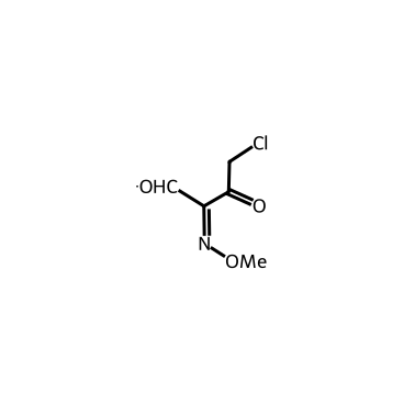 CON=C([C]=O)C(=O)CCl